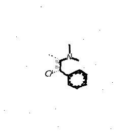 C[C@@H]([C@@H](Cl)c1ccccc1)N(C)C